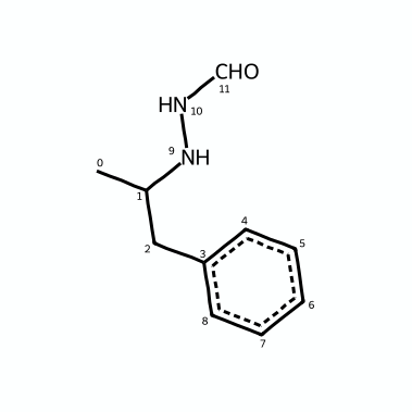 CC(Cc1ccccc1)NNC=O